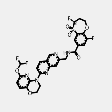 O=C(NCc1cc2nc(N3CCOc4ccc(OC(F)F)nc43)ccc2cn1)c1cc(F)c2c(c1)S(=O)(=O)[C@@H](F)CCO2